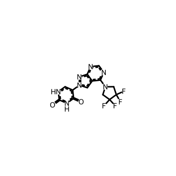 O=c1[nH]cc(-n2cc3c(N4CC(F)(F)C(F)(F)C4)ncnc3n2)c(=O)[nH]1